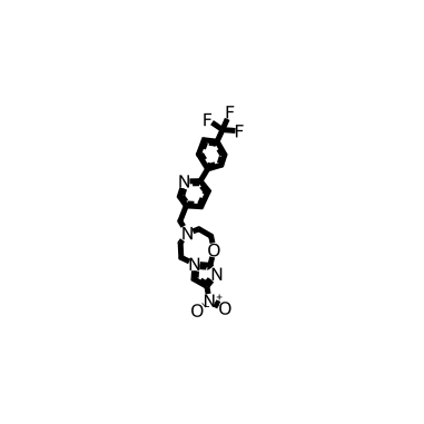 O=[N+]([O-])c1cn2c(n1)OCCN(Cc1ccc(-c3ccc(C(F)(F)F)cc3)nc1)CC2